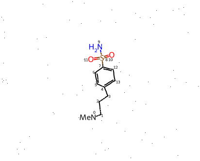 CNCCCc1ccc(S(N)(=O)=O)cc1